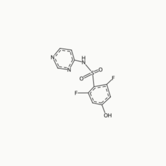 O=S(=O)(Nc1ccncn1)c1c(F)cc(O)cc1F